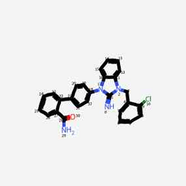 N=c1n(Cc2ccccc2Cl)c2ccccc2n1-c1ccc(-c2ccccc2C(N)=O)cc1